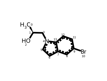 C[C@H](O)Cn1ccc2cc(Br)ccc21